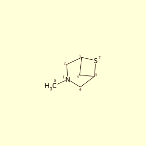 CN1CC2CC(C1)S2